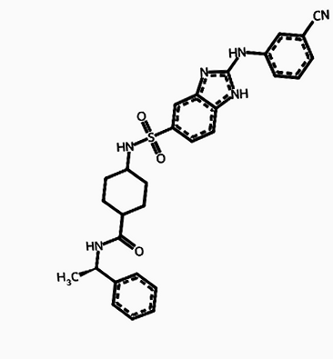 C[C@@H](NC(=O)C1CCC(NS(=O)(=O)c2ccc3[nH]c(Nc4cccc(C#N)c4)nc3c2)CC1)c1ccccc1